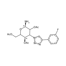 CC(=O)OCC1O[C@@H](N)C(OC(C)=O)C(n2cc(-c3cccc(F)c3)nn2)[C@H]1OC(C)=O